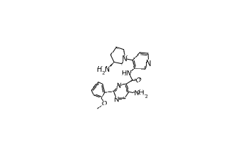 COc1ccccc1-c1ncc(N)c(C(=O)Nc2cnccc2N2CCC[C@H](N)C2)n1